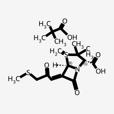 C=S1[C@@H]2C(=CC(=O)CSC)C(=O)N2[C@@H](C(=O)O)C1(C)C.CC(C)(C)C(=O)O